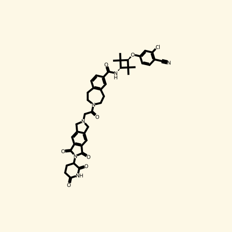 CC1(C)[C@H](NC(=O)c2ccc3c(c2)CCN(C(=O)CN2Cc4cc5c(cc4C2)C(=O)N(C2CCC(=O)NC2=O)C5=O)CC3)C(C)(C)[C@H]1Oc1ccc(C#N)c(Cl)c1